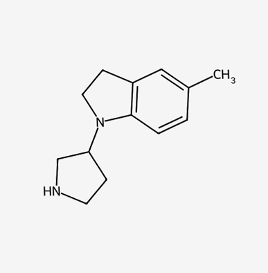 Cc1ccc2c(c1)CCN2C1CCNC1